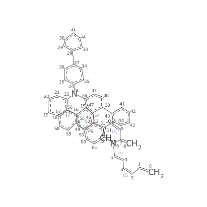 C=C/C=C\C=C\N(C(=C)/C=C\C(=C)c1ccc(-c2ccccc2N(c2ccc(-c3ccccc3)cc2)c2ccc(-c3ccccc3)cc2)cc1)c1ccc(-c2ccccc2)cc1